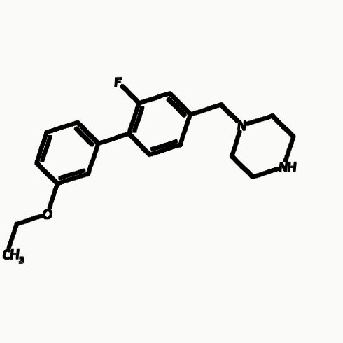 CCOc1cccc(-c2ccc(CN3CCNCC3)cc2F)c1